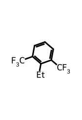 CCc1c(C(F)(F)F)cccc1C(F)(F)F